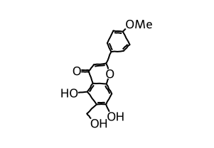 COc1ccc(-c2cc(=O)c3c(O)c(CO)c(O)cc3o2)cc1